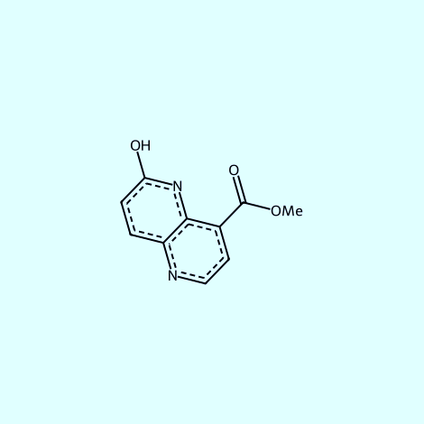 COC(=O)c1ccnc2ccc(O)nc12